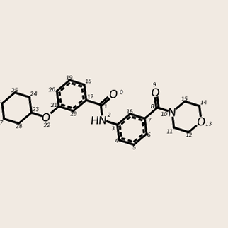 O=C(Nc1cccc(C(=O)N2CCOCC2)c1)c1cccc(OC2CCCCC2)c1